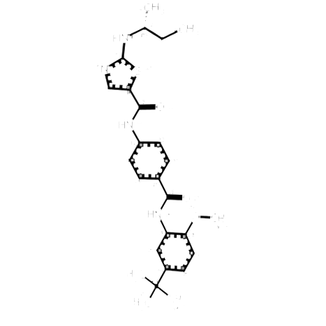 CC[C@@H](C)Nc1ncc(C(=O)Nc2ccc(C(=O)Nc3cc(C(C)(C)C)ccc3OC)cc2)s1